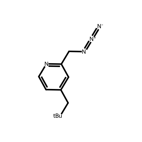 CC(C)(C)Cc1ccnc(CN=[N+]=[N-])c1